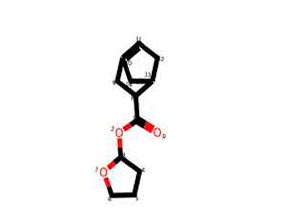 O=C(OC1CCCO1)C1CC2=CCC1C2